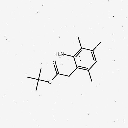 Cc1cc(C)c(CC(=O)OC(C)(C)C)c(N)c1C